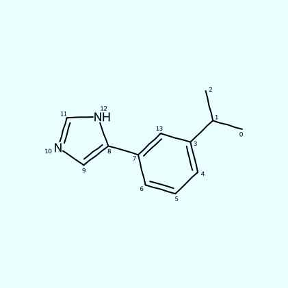 CC(C)c1cccc(-c2cnc[nH]2)c1